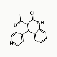 CC(=O)c1c(-c2ccncc2)c2ccccc2[nH]c1=O